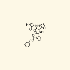 O=C1NCC1NC(=O)C(NC(=O)[C@@H]1CCCN1C(=O)OCc1ccccc1)c1ccco1